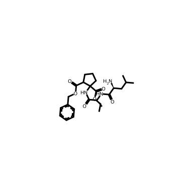 CCOC(=O)C1(NC(=O)[C@H](C)NC(=O)[C@@H](N)CC(C)C)CCCC1C(=O)OCc1ccccc1